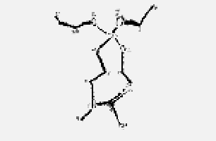 CCO[Si](CCCN(C)C(=S)S)(OCC)OCC